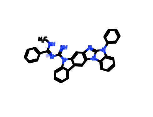 CN/C(=N\C(=N)n1c2ccccc2c2cc3c(cc21)nc1n(-c2ccccc2)c2ccccc2n31)c1ccccc1